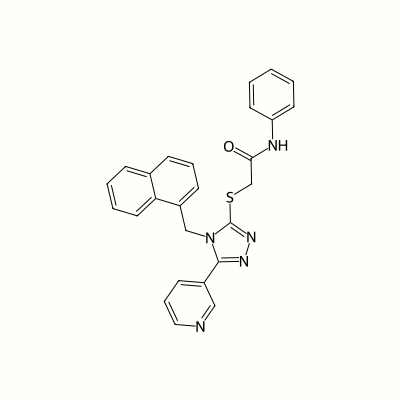 O=C(CSc1nnc(-c2cccnc2)n1Cc1cccc2ccccc12)Nc1ccccc1